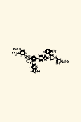 CN/C=C(\C=N)CN1CCN(C2CC3(CCN(c4ccc(C(=O)NSc5ccc(NC)c([N+](=O)[O-])c5)c(Oc5cnc6[nH]ccc6c5)c4)CC3)C2)C(c2ccccc2C(C)C)C1